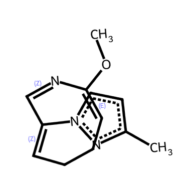 COC1=C/CC/C=C(n2ccc(C)n2)/C=N\1